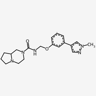 Cn1cc(-c2c[c]cc(OCNC(=O)N3CCN4CCCC4C3)c2)cn1